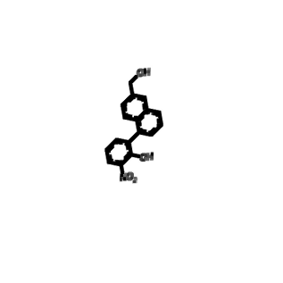 O=[N+]([O-])c1cccc(-c2cccc3cc(CO)ccc23)c1O